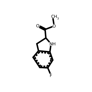 COC(=O)C1Cc2ccc(F)cc2N1